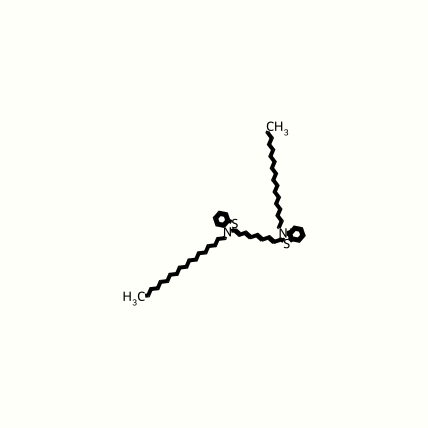 CCCCCCCCCCCCCCCCCCN1/C(=C/C=C/C=C/C=C/c2sc3ccccc3[n+]2CCCCCCCCCCCCCCCCCC)Sc2ccccc21